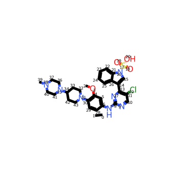 CC.COc1cc(Nc2ncc(Cl)c(-c3cn(S(=O)(=O)O)c4ccccc34)n2)ccc1N1CCC(N2CCN(C)CC2)CC1